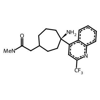 CNC(=O)CC1CCC[C@](N)(c2cc(C(F)(F)F)nc3ccccc23)CC1